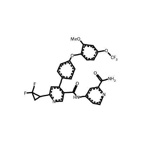 COc1cc(OC(F)(F)F)ccc1Oc1ccc(-c2cc(C3CC3(F)F)ncc2C(=O)Nc2ccnc(C(N)=O)c2)cc1